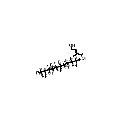 OCC=C(CO)SC(F)(F)C(F)(F)C(F)(F)C(F)(F)C(F)(F)C(F)(F)C(F)(F)C(F)(F)C(F)(F)C(F)(F)F